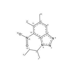 CCC(C)n1nnc2cc(C)c(C)c([N+](=O)[O-])c21